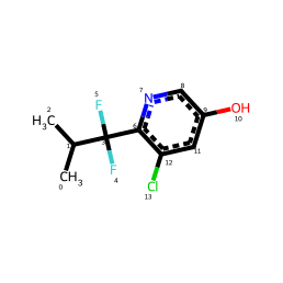 CC(C)C(F)(F)c1ncc(O)cc1Cl